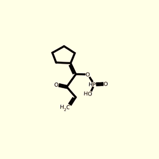 C=CC(=O)C(O[PH](=O)O)=C1CCCC1